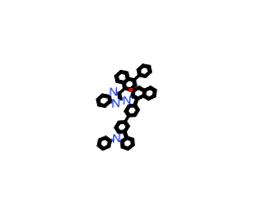 c1ccc(-c2ccc(-c3nc4ccccc4nc3-n3c4cc(-c5ccc6c(c5)c5ccccc5n6-c5ccccc5)ccc4c4c5ccccc5ccc43)c3ccccc23)cc1